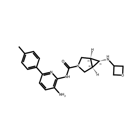 Cc1ccc(-c2ccc(N)c(NC(=O)N3C[C@@H]4[C@H](C3)[C@H]4NC3COC3)n2)cc1